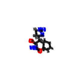 O=C1NOc2ccccc2C1c1cc[nH]n1